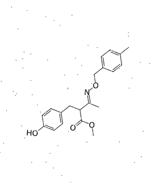 COC(=O)C(Cc1ccc(O)cc1)C(C)=NOCc1ccc(C)cc1